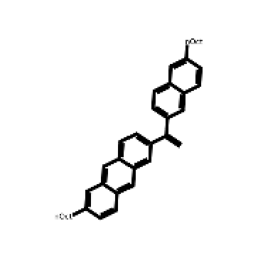 C=C(c1ccc2cc(CCCCCCCC)ccc2c1)c1ccc2cc3cc(CCCCCCCC)ccc3cc2c1